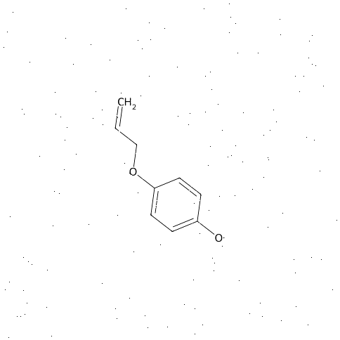 C=CCOc1ccc([O])cc1